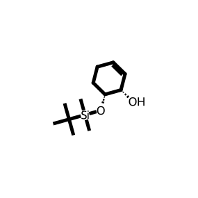 CC(C)(C)[Si](C)(C)O[C@@H]1CCC=C[C@@H]1O